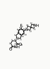 O=C1CCC(N2Cc3cc(F)c(N4CC5(CNC5)C4)cc3C2)C(=O)N1